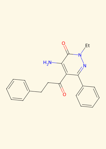 CCn1nc(-c2ccccc2)c(C(=O)CCc2ccccc2)c(N)c1=O